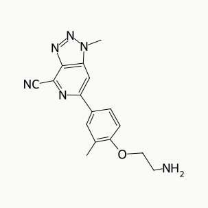 Cc1cc(-c2cc3c(nnn3C)c(C#N)n2)ccc1OCCN